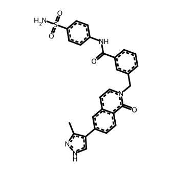 Cc1n[nH]cc1-c1ccc2c(=O)n(Cc3cccc(C(=O)Nc4ccc(S(N)(=O)=O)cc4)c3)ccc2c1